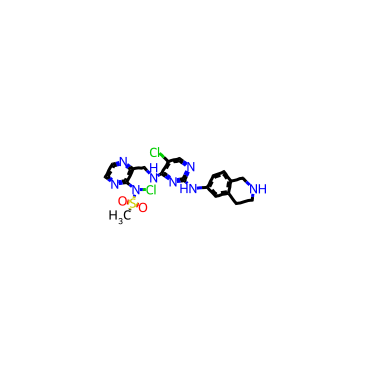 CS(=O)(=O)N(Cl)c1nccnc1CNc1nc(Nc2ccc3c(c2)CCNC3)ncc1Cl